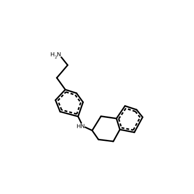 NCCc1ccc(NC2CCc3ccccc3C2)cc1